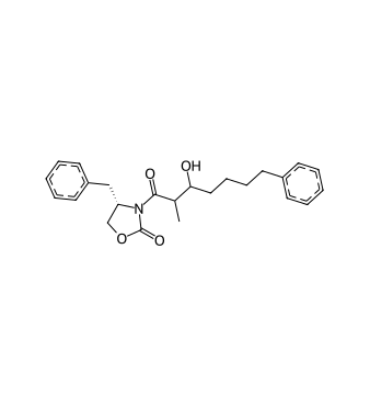 CC(C(=O)N1C(=O)OC[C@@H]1Cc1ccccc1)C(O)CCCCc1ccccc1